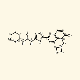 O=C(Nc1csc(-c2ccc3c(ccc(=O)n3CC3CCC3)c2)n1)N[C@H]1CCCNC1